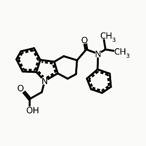 CC(C)N(C(=O)C1CCc2c(c3ccccc3n2CC(=O)O)C1)c1ccccc1